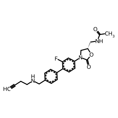 C#CCCNCc1ccc(-c2ccc(N3C[C@H](CNC(C)=O)OC3=O)cc2F)cc1